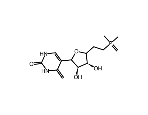 C=C1NC(=O)NC=C1C1OC(CCP(=C)(C)C)[C@@H](O)[C@H]1O